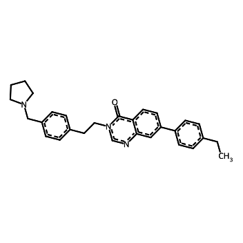 CCc1ccc(-c2ccc3c(=O)n(CCc4ccc(CN5CCCC5)cc4)cnc3c2)cc1